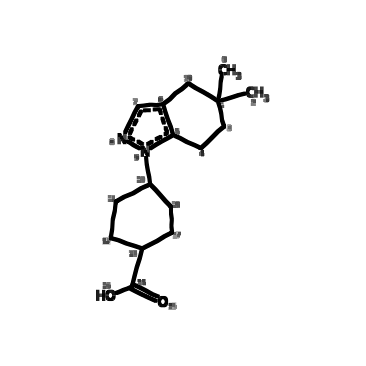 CC1(C)CCc2c(cnn2C2CCC(C(=O)O)CC2)C1